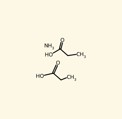 CCC(=O)O.CCC(=O)O.N